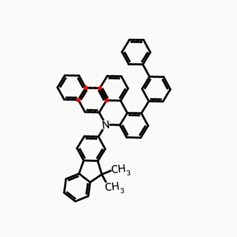 CC1(C)c2ccccc2-c2ccc(N(c3ccccc3)c3cccc(-c4cccc(-c5ccccc5)c4)c3-c3cccc(-c4ccccc4)c3)cc21